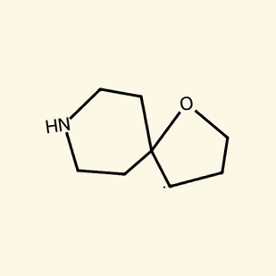 [CH]1CCOC12CCNCC2